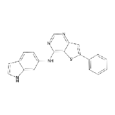 c1ccc(-c2cc3ncnc(Nc4ccc5cc[nH]c5c4)c3s2)cc1